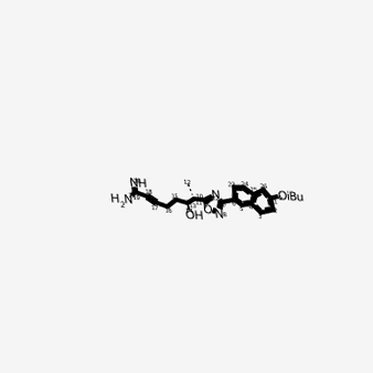 CC(C)COc1ccc2cc(-c3noc([C@@H](C)[C@@H](O)CCC#CC(=N)N)n3)ccc2c1